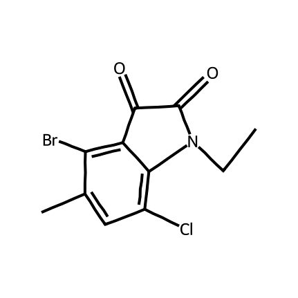 CCN1C(=O)C(=O)c2c(Br)c(C)cc(Cl)c21